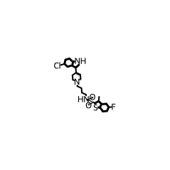 Cc1c(S(=O)(=O)NCCCCN2CC=C(c3c[nH]c4ccc(Cl)cc34)CC2)sc2ccc(F)cc12